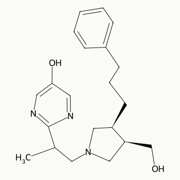 CC(CN1C[C@@H](CCCc2ccccc2)[C@@H](CO)C1)c1ncc(O)cn1